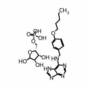 CCCCCOc1ccc(CNc2ncnc3nc[nH]c23)cc1.O=P(O)(O)OC[C@H]1OC(O)[C@H](O)[C@@H]1O